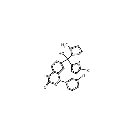 Cn1cncc1C(O)(c1ccc2[nH]c(=O)nc(-c3cccc(Cl)c3)c2c1)c1ccc(Cl)s1